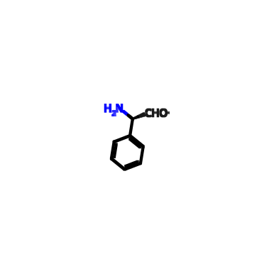 N[C@@H]([C]=O)c1ccccc1